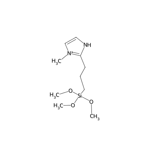 CO[Si](CCCc1[nH]cc[n+]1C)(OC)OC